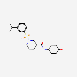 CC(C)c1cccc(S(=O)(=O)N2CCC[C@H](C(=O)NC3CCC(O)CC3)C2)c1